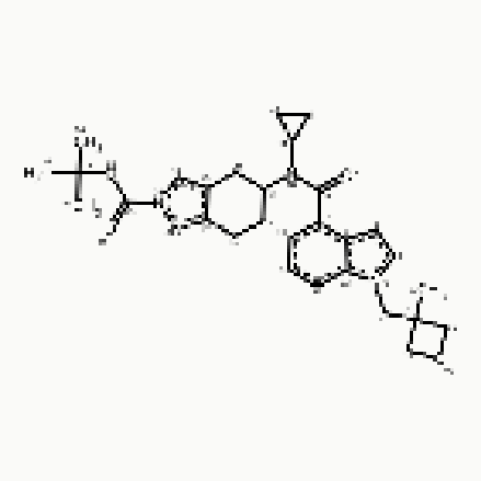 CC1(Cn2ccc3c(C(=O)N(C4CC4)C4CCc5nn(C(=O)OC(C)(C)C)cc5C4)cccc32)COC1